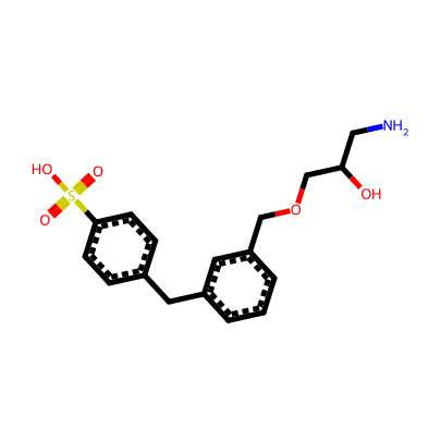 NCC(O)COCc1cccc(Cc2ccc(S(=O)(=O)O)cc2)c1